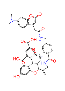 C=C(CNC(=O)c1ccc(CNC(=O)Cc2cc(=O)oc3cc(N(C)C)ccc23)cc1)C1Oc2cc(O)ccc2C(c2ccc(C(=O)O)cc2C(=O)O)=C1/C=C\C=O